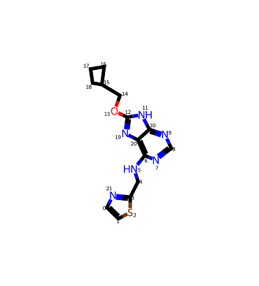 c1csc(CNc2ncnc3[nH]c(OCC4CCC4)nc23)n1